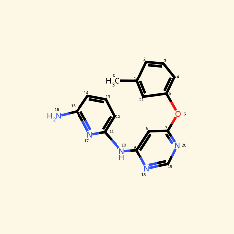 Cc1cccc(Oc2cc(Nc3cccc(N)n3)ncn2)c1